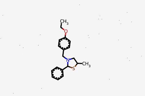 CCOc1ccc(CN2CC(C)SC2c2ccccc2)cc1